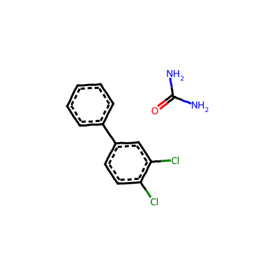 Clc1ccc(-c2ccccc2)cc1Cl.NC(N)=O